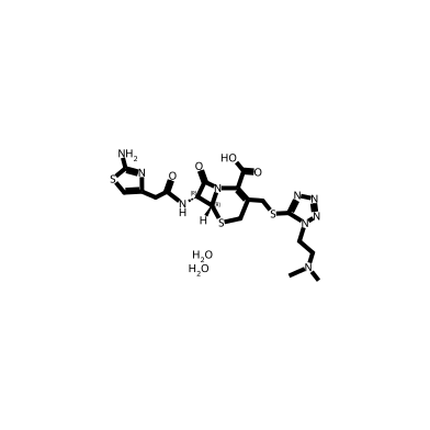 CN(C)CCn1nnnc1SCC1=C(C(=O)O)N2C(=O)[C@@H](NC(=O)Cc3csc(N)n3)[C@H]2SC1.O.O